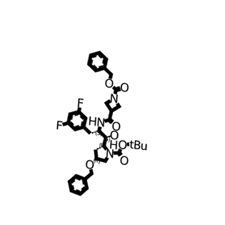 CC(C)(C)OC(=O)N1C[C@H](OCc2ccccc2)C[C@@H]1[C@@H](O)[C@H](Cc1cc(F)cc(F)c1)NC(=O)C1CN(C(=O)OCc2ccccc2)C1